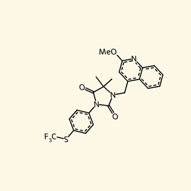 COc1cc(CN2C(=O)N(c3ccc(SC(F)(F)F)cc3)C(=O)C2(C)C)c2ccccc2n1